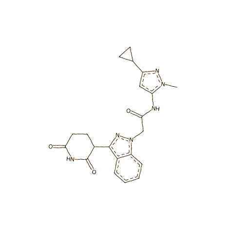 Cn1nc(C2CC2)cc1NC(=O)Cn1nc(C2CCC(=O)NC2=O)c2ccccc21